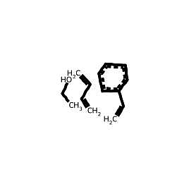 C=CC=C.C=Cc1ccccc1.CCO